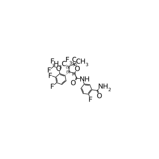 C[C@H]1[C@@H](c2ccc(F)c(F)c2OC(F)F)[C@H](C(=O)Nc2ccc(F)c(C(N)=O)c2)O[C@]1(C)C(F)(F)F